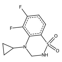 O=S1(=O)NCN(C2CC2)c2c1ccc(F)c2F